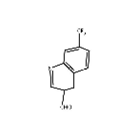 O=CC1C=Nc2cc(C(F)(F)F)ccc2C1